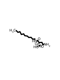 CCCCCCCCCCCCNC(=O)C(CC(N)=O)S(=O)(=O)O